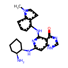 Cn1ccc2c(Nc3nc(N[C@@H]4CCCC[C@@H]4N)cc4[nH]cnc(=O)c34)cccc21